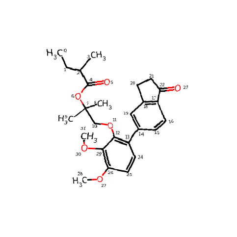 CCC(C)C(=O)OC(C)(C)COc1c(-c2ccc3c(c2)CCC3=O)ccc(OC)c1OC